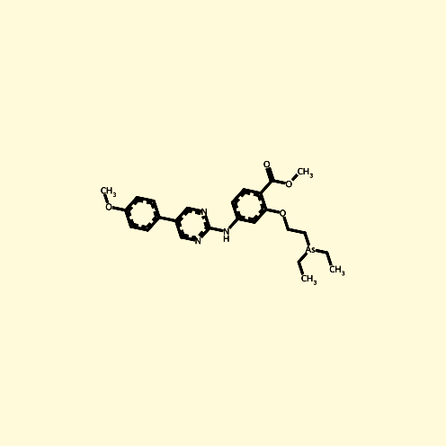 CC[As](CC)CCOc1cc(Nc2ncc(-c3ccc(OC)cc3)cn2)ccc1C(=O)OC